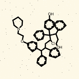 OCCC(c1ccccc1)C(c1ccccc1)(c1ccc(O)cc1)C(Cl)CC(c1ccccc1)C(c1ccccc1)c1ccc(OCCN2CCCCC2)cc1